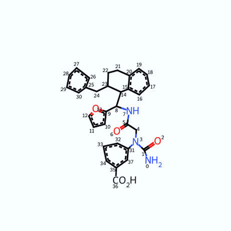 NC(=O)N(CC(=O)NC(c1ccco1)C1c2ccccc2CCC1Cc1ccccc1)c1cccc(C(=O)O)c1